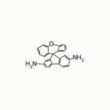 Nc1ccc2c(c1)C1(c3ccccc3Oc3ccccc31)c1cc(N)ccc1-2